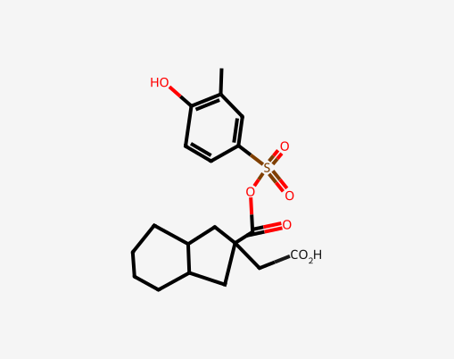 Cc1cc(S(=O)(=O)OC(=O)C2(CC(=O)O)CC3CCCCC3C2)ccc1O